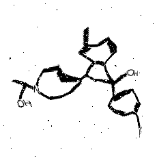 Cc1ccc2c(c1)C(C1=CCN(C(C)O)CC1)CC2(O)c1ccc(F)cc1